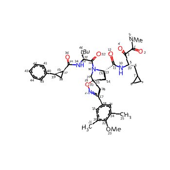 CNC(=O)C(=O)[C@H](CC1CC1)NC(=O)[C@@H]1C[C@]2(CC(c3cc(C)c(OC)c(C)c3)=NO2)CN1C(=O)[C@@H](NC(=O)[C@H]1CC1c1ccccc1)C(C)(C)C